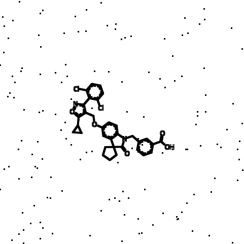 O=C(O)c1cccc(CN2C(=O)C3(CCCC3)c3cc(OCc4c(-c5c(Cl)cccc5Cl)noc4C4CC4)ccc32)c1